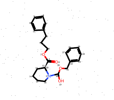 O=C(OCCCc1ccccc1)[C@@H]1CCCCN1C(O)OCc1ccccc1